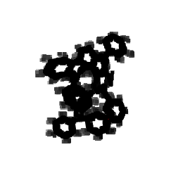 c1ccc(-c2nc3c(c4c(ccc5c6ccccc6n(-c6ccc([SiH](c7ccccc7)c7ccccc7)cc6)c54)n3-c3ccccc3)n2-c2ccccc2)cc1